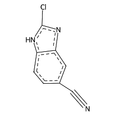 N#Cc1ccc2[nH]c(Cl)nc2c1